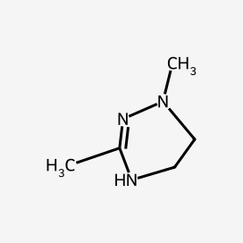 CC1=NN(C)CCN1